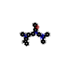 CC1(C)c2ccccc2-c2cc3c4cc(-c5ccc6c(c5)c5cc7c(cc5n6-c5ccc(-c6nc(-c8ccccc8)cc(-c8ccccc8)n6)cc5)oc5ccccc57)ccc4n(-c4ccccc4)c3cc21